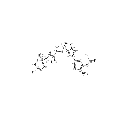 CC(C)(NC(=O)N1CC[C@@]2(CCn3nc(-c4cnc(N)c(OC(F)F)c4)cc32)C1)c1ccc(F)cc1